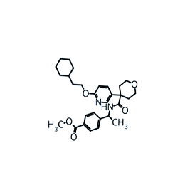 COC(=O)c1ccc(C(C)NC(=O)C2(c3ccc(OCCC4CCCCC4)nc3)CCOCC2)cc1